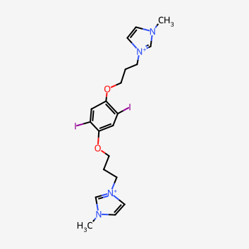 Cn1cc[n+](CCCOc2cc(I)c(OCCC[n+]3ccn(C)c3)cc2I)c1